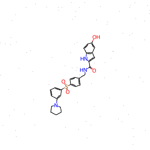 O=C(NCc1ccc(S(=O)(=O)c2cccc(N3CCCCC3)c2)cc1)c1cc2cc(O)ccc2[nH]1